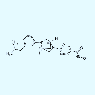 CN(C)Cc1cccc(N2C[C@@H]3C[C@H]2CN3c2ncc(C(=O)NO)cn2)c1